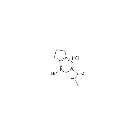 CC1=Cc2c(cc3c(c2Br)CCC3)[CH]1[Zr].Cl